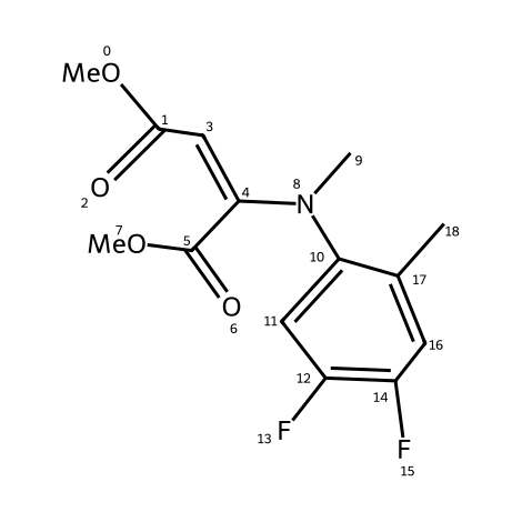 COC(=O)/C=C(\C(=O)OC)N(C)c1cc(F)c(F)cc1C